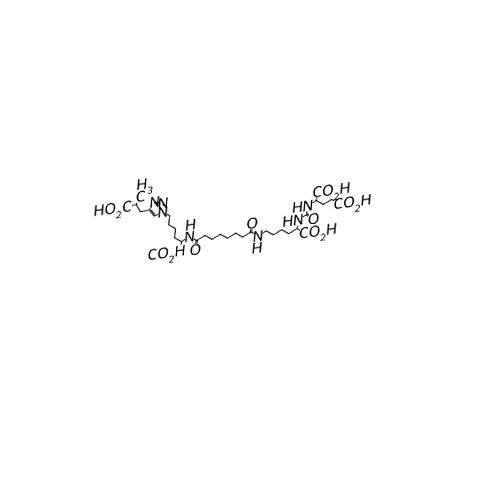 CC(Cc1cn(CCCCC(NC(=O)CCCCCCC(=O)NCCCCC(NC(=O)NC(CCC(=O)O)C(=O)O)C(=O)O)C(=O)O)nn1)C(=O)O